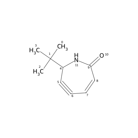 CC(C)(C)C1C#CC=CC(=O)N1